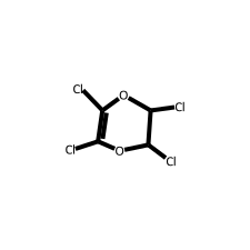 ClC1=C(Cl)OC(Cl)C(Cl)O1